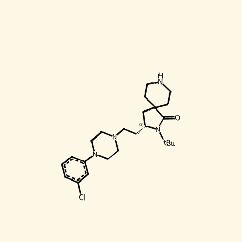 CC(C)(C)N1C(=O)C2(CCNCC2)C[C@H]1CCN1CCN(c2cccc(Cl)c2)CC1